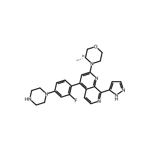 C[C@@H]1COCCN1c1cc(-c2ccc(N3CCNCC3)cc2F)c2ccnc(-c3ccn[nH]3)c2n1